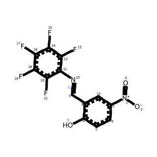 O=[N+]([O-])c1ccc(O)c(/C=N/c2c(F)c(F)c(F)c(F)c2F)c1